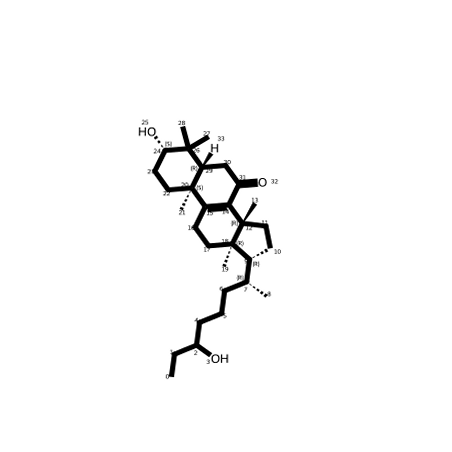 CCC(O)CCC[C@@H](C)[C@H]1CC[C@@]2(C)C3=C(CC[C@]12C)[C@@]1(C)CC[C@H](O)C(C)(C)[C@@H]1CC3=O